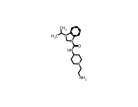 CC(C)N1CN(C(=O)NC2CCN(CCN)CC2)c2ccccc21